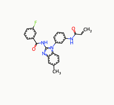 C=CC(=O)Nc1cccc(-n2c(NC(=O)c3cccc(F)c3)nc3cc(C)ccc32)c1